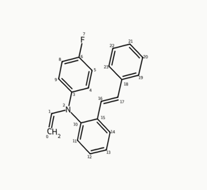 C=CN(c1ccc(F)cc1)c1ccccc1C=Cc1ccccc1